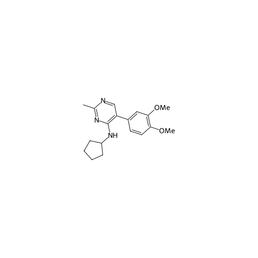 COc1ccc(-c2cnc(C)nc2NC2CCCC2)cc1OC